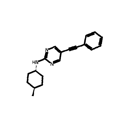 C[C@H]1CC[C@H](Nc2ncc(C#Cc3ccccc3)cn2)CC1